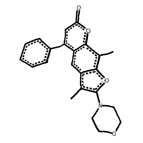 Cc1c(N2CCOCC2)oc2c(C)c3oc(=O)cc(-c4ccccc4)c3cc12